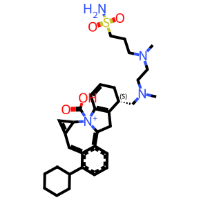 CN(CCCS(N)(=O)=O)CCN(C)C[C@H]1CC=CC2=C1CC1=c3cccc(C4CCCCC4)c3=CC3=CC3[N+]21C(=O)O